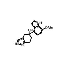 COc1ccc(C2(C#N)CCc3n[nH]cc3C2)c2cc[nH]c12